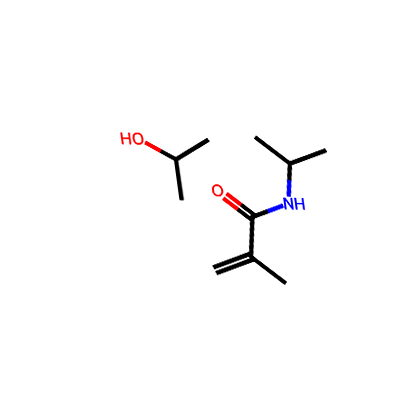 C=C(C)C(=O)NC(C)C.CC(C)O